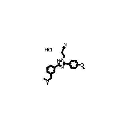 COc1ccc(-c2nc(-c3cccc(CN(C)C)c3)nn2CCC#N)cc1.Cl